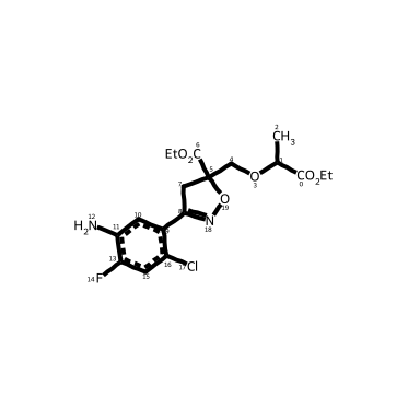 CCOC(=O)C(C)OCC1(C(=O)OCC)CC(c2cc(N)c(F)cc2Cl)=NO1